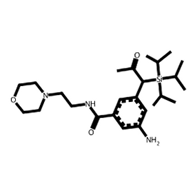 CC(=O)C(c1cc(N)cc(C(=O)NCCN2CCOCC2)c1)[Si](C(C)C)(C(C)C)C(C)C